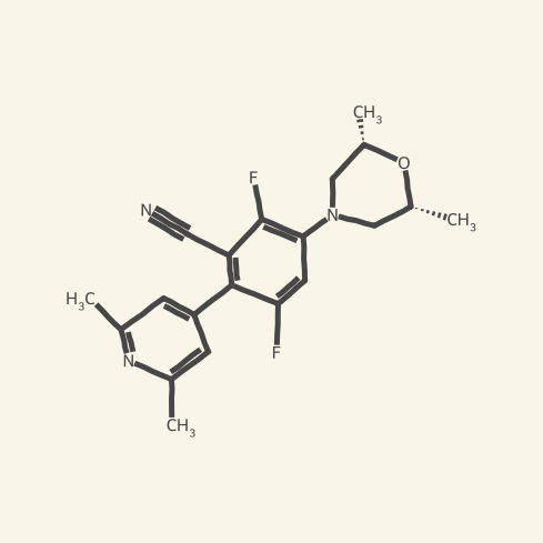 Cc1cc(-c2c(F)cc(N3C[C@@H](C)O[C@@H](C)C3)c(F)c2C#N)cc(C)n1